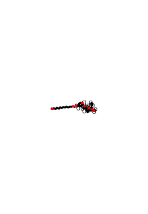 CCCCCCCCCCCCCCCCOC(=O)c1ccc(Cl)c(NC(=O)C(Oc2ccc(C(=O)OC)cc2NS(C)(=O)=O)C(=O)C(C)(C)C)c1